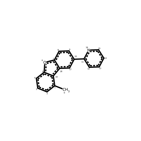 Cc1cccc2oc3ccc(-c4ccccn4)cc3c12